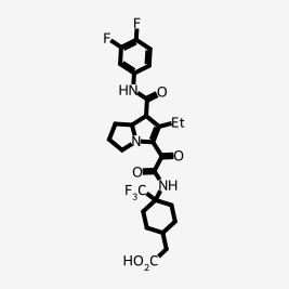 CCC1=C(C(=O)C(=O)NC2(C(F)(F)F)CCC(CC(=O)O)CC2)N2CCCC2C1C(=O)Nc1ccc(F)c(F)c1